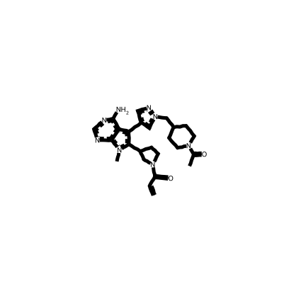 C=CC(=O)N1CCC(c2c(-c3cnn(CC4CCN(C(C)=O)CC4)c3)c3c(N)ncnc3n2C)C1